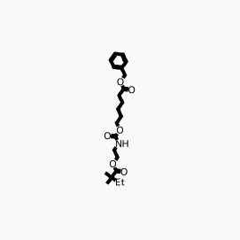 CCC(C)(C)C(=O)OCCNC(=O)OCCCCCC(=O)OCc1ccccc1